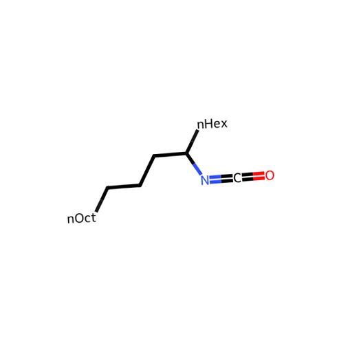 CCCCCCCCCCCC(CCCCCC)N=C=O